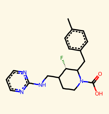 Cc1ccc(CC2[C@@H](F)C(CNc3ncccn3)CCN2C(=O)O)cc1